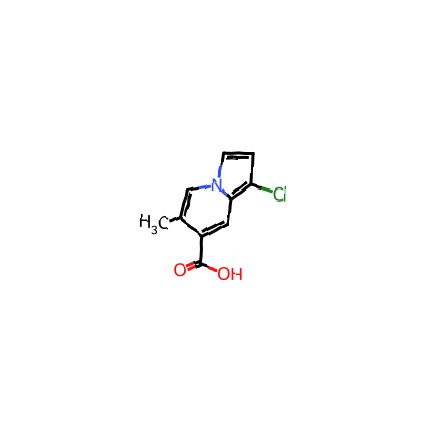 Cc1cn2ccc(Cl)c2cc1C(=O)O